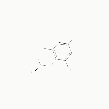 CC(C)[C@H](Nc1c(Cl)cc([N+](=O)[O-])cc1Cl)C(=O)O